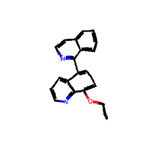 CCOc1ccc(-c2nccc3ccccc23)c2cccnc12